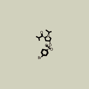 CC(C)C(=O)[C@@H]1C[C@H](OS(=O)(=O)c2ccc(Br)cc2)CN1C(C)C